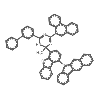 CC1(c2ccc(-n3c4ccccc4c4cc5ccccc5cc43)c3c2oc2ccccc23)N=C(c2cc3ccccc3c3ccccc23)N=C(c2cccc(-c3ccccc3)c2)N1